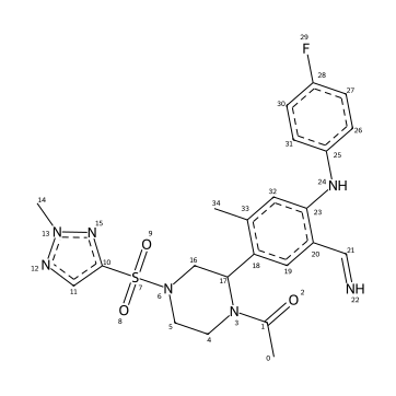 CC(=O)N1CCN(S(=O)(=O)c2cnn(C)n2)CC1c1cc(C=N)c(Nc2ccc(F)cc2)cc1C